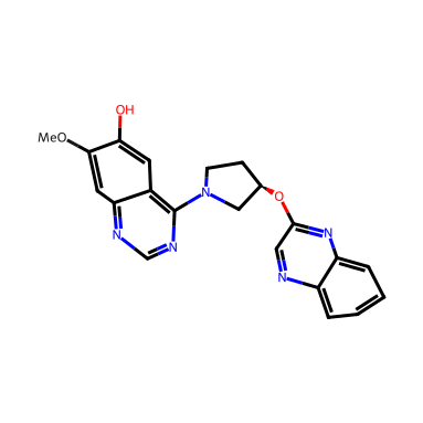 COc1cc2ncnc(N3CC[C@@H](Oc4cnc5ccccc5n4)C3)c2cc1O